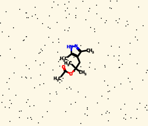 CC(=O)OC(C)(C)Cc1c(C)n[nH]c1C